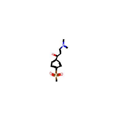 CN(C)C=CC(=O)c1ccc(S(C)(=O)=O)cc1